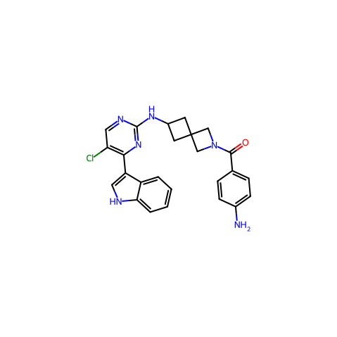 Nc1ccc(C(=O)N2CC3(CC(Nc4ncc(Cl)c(-c5c[nH]c6ccccc56)n4)C3)C2)cc1